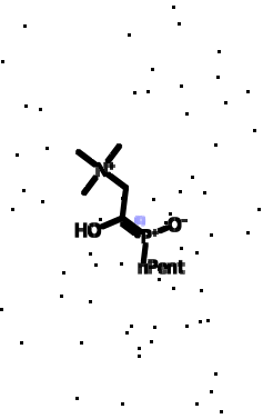 CCCCC/[P+]([O-])=C(\O)C[N+](C)(C)C